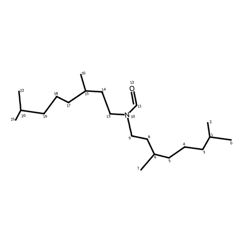 CC(C)CCCC(C)CCN(C=O)CCC(C)CCCC(C)C